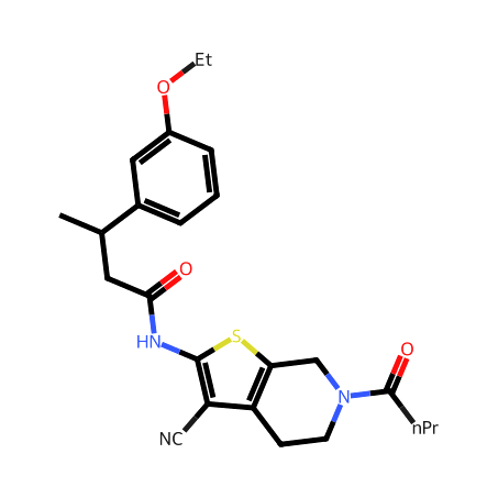 CCCC(=O)N1CCc2c(sc(NC(=O)CC(C)c3cccc(OCC)c3)c2C#N)C1